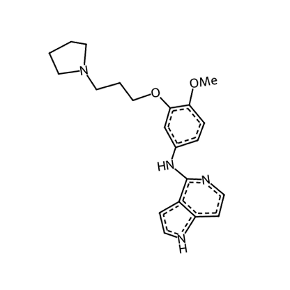 COc1ccc(Nc2nccc3[nH]ccc23)cc1OCCCN1CCCC1